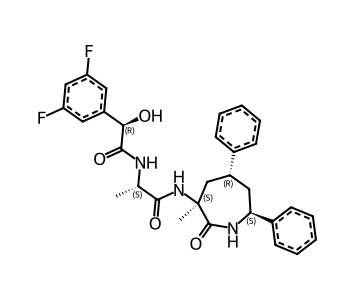 C[C@H](NC(=O)[C@H](O)c1cc(F)cc(F)c1)C(=O)N[C@@]1(C)C[C@H](c2ccccc2)C[C@@H](c2ccccc2)NC1=O